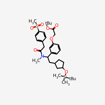 CN(C(=O)Cc1ccc(S(C)(=O)=O)cc1)C(CC1CCC(O[Si](C)(C)C(C)(C)C)C1)c1cccc(OCC(=O)OC(C)(C)C)c1